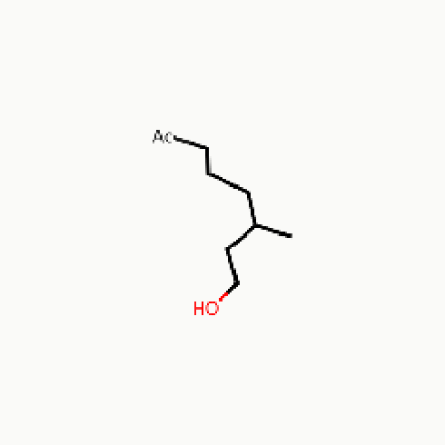 CC(=O)CCCC(C)CCO